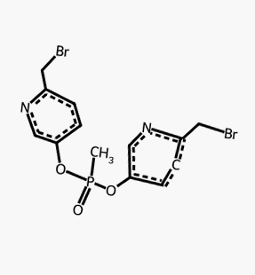 CP(=O)(Oc1ccc(CBr)nc1)Oc1ccc(CBr)nc1